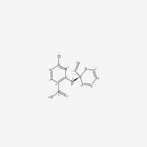 C=C[C@@]1(Nc2nc(Cl)ccc2[N+](=O)[O-])C=CC=CC1